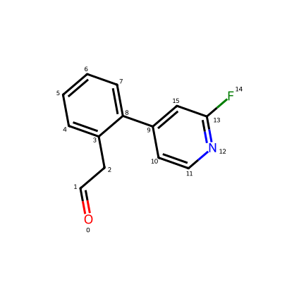 O=CCc1ccccc1-c1ccnc(F)c1